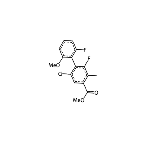 COC(=O)c1cc(Cl)c(-c2c(F)cccc2OC)c(F)c1C